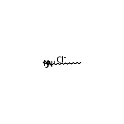 CCCCCCCCCCCCCCCC[n+]1ccn(CC)c1CC.[Cl-]